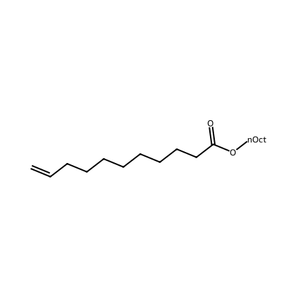 C=CCCCCCCCCC(=O)OCCCCCCCC